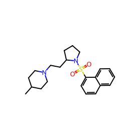 CC1CCN(CCC2CCCN2S(=O)(=O)c2cccc3ccccc23)CC1